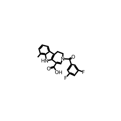 Cc1cccc2c3c([nH]c12)C(C(=O)O)=CN(C(=O)c1cc(F)cc(F)c1)CC3